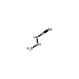 B=BBBB